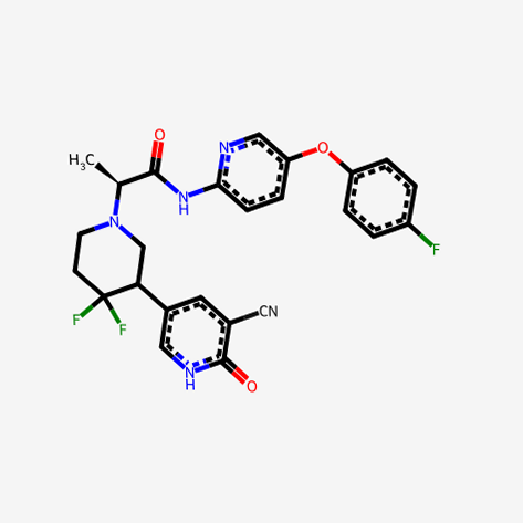 C[C@@H](C(=O)Nc1ccc(Oc2ccc(F)cc2)cn1)N1CCC(F)(F)C(c2c[nH]c(=O)c(C#N)c2)C1